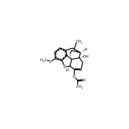 COc1ccc2c3c1O[C@@H]1C(OC(C)=O)=CC[C@]4(O)[C@H](C2)N(C)CC[C@@]314